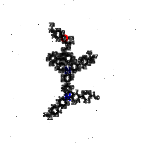 C=CC1=CC=C(C2C=C3C(=CC2)N(C2C=CC(c4ccc(C=C)cc4)=CC2)C2C=CC(C4C=CC(N(c5ccc(-c6ccc(C(C)(C)C)cc6)cc5)c5ccc6c(c5)C(CCCCC(CC)COC5=CCC(C=C)C=C5)(c5ccccc5)c5ccccc5-6)=CC4)=CC32)CC1